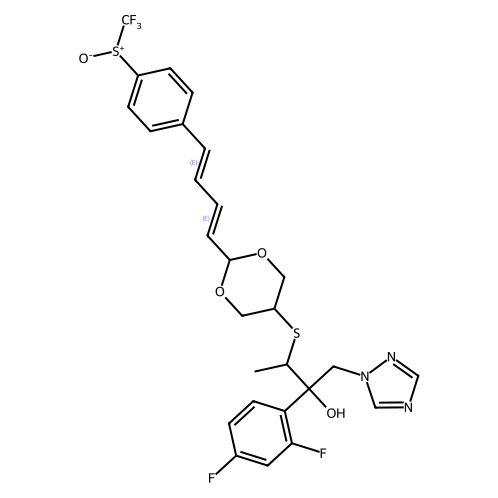 CC(SC1COC(/C=C/C=C/c2ccc([S+]([O-])C(F)(F)F)cc2)OC1)C(O)(Cn1cncn1)c1ccc(F)cc1F